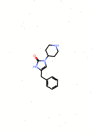 O=c1[nH]c(Cc2ccccc2)cn1C1CCNCC1